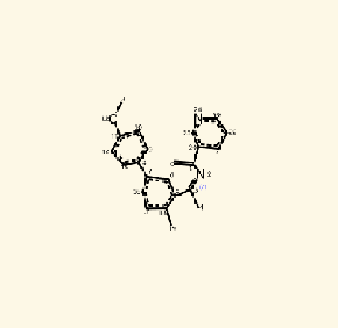 C=C(/N=C(/C)c1cc(-c2ccc(OC)cc2)ccc1C)c1cccnc1